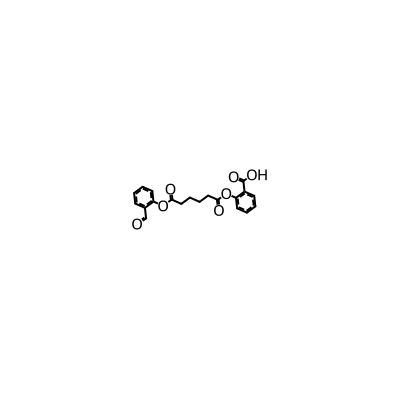 O=Cc1ccccc1OC(=O)CCCCC(=O)Oc1ccccc1C(=O)O